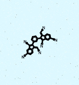 N#C/C=C1/C(c2cccc(C3=C(C#N)c4cc(C#N)ccc4/C3=C\C#N)c2)=C(C#N)c2cc(C#N)ccc21